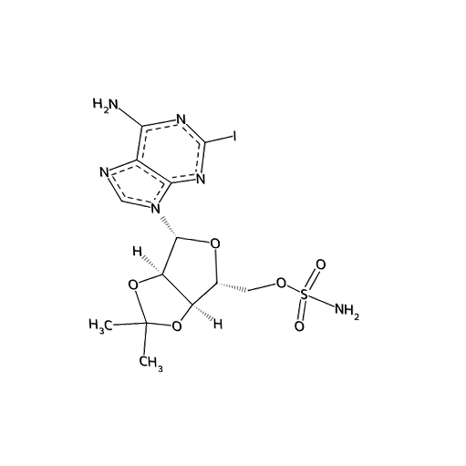 CC1(C)O[C@@H]2[C@H](O1)[C@@H](COS(N)(=O)=O)O[C@H]2n1cnc2c(N)nc(I)nc21